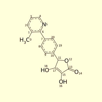 Cc1cccnc1-c1ccc(C2OC(=O)C(O)=C2O)cc1